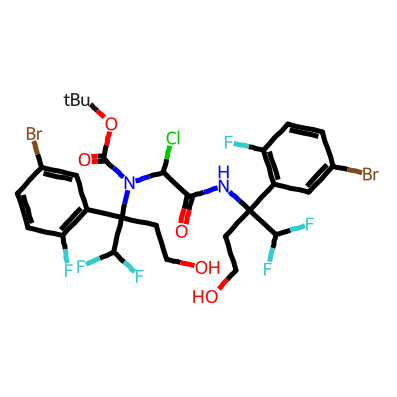 CC(C)(C)OC(=O)N(C(Cl)C(=O)NC(CCO)(c1cc(Br)ccc1F)C(F)F)C(CCO)(c1cc(Br)ccc1F)C(F)F